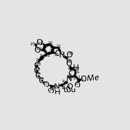 COC(=O)C1C[C@@H]2CN1C(=O)[C@H](C(C)(C)C)NC(=O)OCCCC/C=C\c1c3c(cc4c1OCO4)CN(C3)C(=O)O2